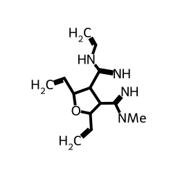 C=CNC(=N)C1C(C=C)OC(C=C)C1C(=N)NC